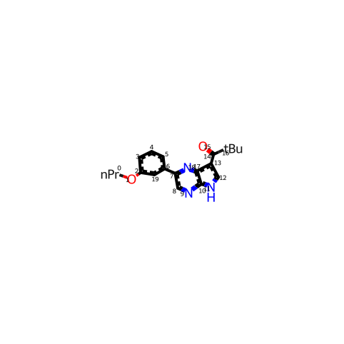 CCCOc1cccc(-c2cnc3[nH]cc(C(=O)C(C)(C)C)c3n2)c1